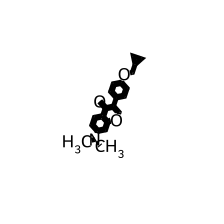 CN(C)c1ccc2c(=O)c(-c3ccc(OCC4CC4)cc3)coc2c1